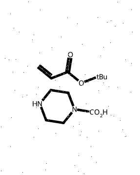 C=CC(=O)OC(C)(C)C.O=C(O)N1CCNCC1